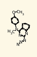 COc1ccc(N(C)c2nc(N=[N+]=[N-])nc3ccccc23)cc1